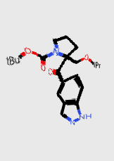 CC(C)OCC1(C(=O)c2ccc3[nH]ncc3c2)CCCN1C(=O)OC(C)(C)C